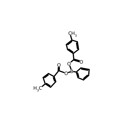 Cc1ccc(C(=O)OB(OC(=O)c2ccc(C)cc2)c2ccccc2)cc1